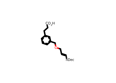 CCCCCCCCCC/C=C/COCc1cccc(CCC(=O)O)c1